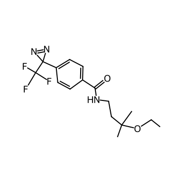 CCOC(C)(C)CCNC(=O)c1ccc(C2(C(F)(F)F)N=N2)cc1